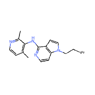 Cc1ccnc(C)c1Nc1nccc2c1ccn2CCC(C)C